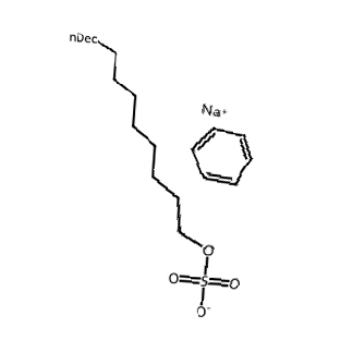 CCCCCCCCCCCCCCCCCCOS(=O)(=O)[O-].[Na+].c1ccccc1